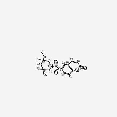 CCC1(C)CN(S(=O)(=O)c2ccc3oc(=O)ccc3c2)CC(C)(C)C1